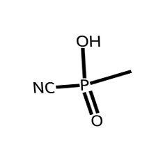 CP(=O)(O)C#N